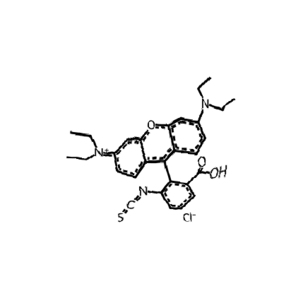 CCN(CC)c1ccc2c(-c3c(N=C=S)cccc3C(=O)O)c3ccc(=[N+](CC)CC)cc-3oc2c1.[Cl-]